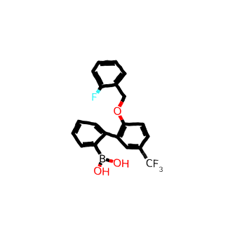 OB(O)c1ccccc1-c1cc(C(F)(F)F)ccc1OCc1ccccc1F